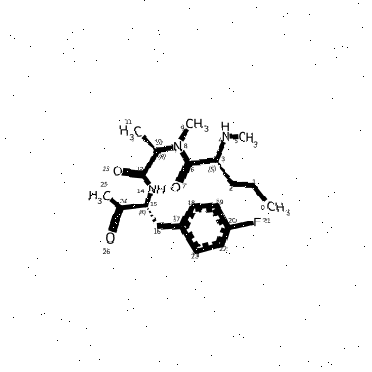 CCC[C@H](NC)C(=O)N(C)[C@H](C)C(=O)N[C@H](Cc1ccc(F)cc1)C(C)=O